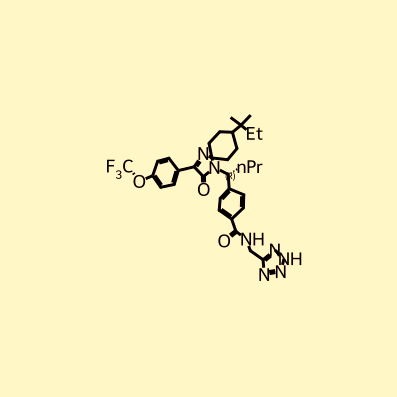 CCC[C@H](c1ccc(C(=O)NCc2nn[nH]n2)cc1)N1C(=O)C(c2ccc(OC(F)(F)F)cc2)=NC12CCC(C(C)(C)CC)CC2